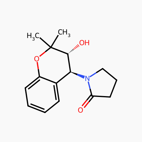 CC1(C)Oc2ccccc2[C@H](N2CCCC2=O)[C@H]1O